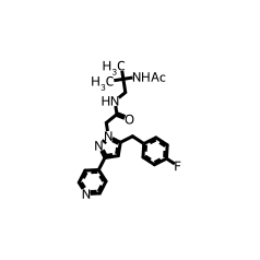 CC(=O)NC(C)(C)CNC(=O)Cn1nc(-c2ccncc2)cc1Cc1ccc(F)cc1